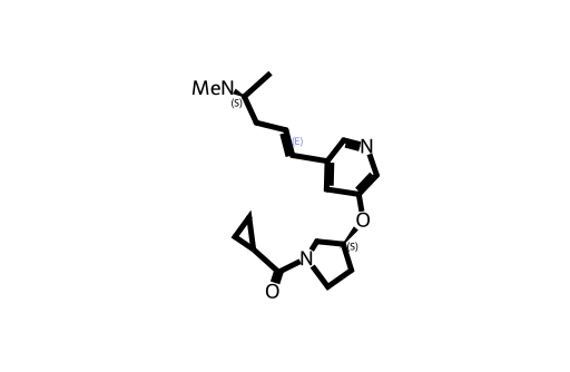 CN[C@@H](C)C/C=C/c1cncc(O[C@H]2CCN(C(=O)C3CC3)C2)c1